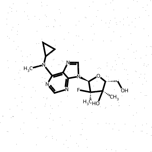 CN(c1ncnc2c1ncn2[C@H]1O[C@H](CO)[C@@](C)(O)[C@@]1(C)F)C1CC1